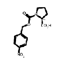 O=C(O)[C@@H]1CCCN1C(=O)OCc1ccc([N+](=O)[O-])cc1